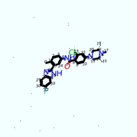 Cc1ccc(NC(=O)c2ccc(N3C[C@@H](C)N(C)[C@@H](C)C3)cc2Cl)cc1-c1nc2ccc(F)cc2[nH]1